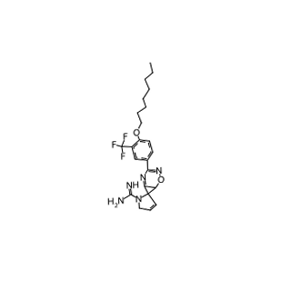 CCCCCCCCOc1ccc(C2=NOC3C(=N2)C32C=CCN2C(=N)N)cc1C(F)(F)F